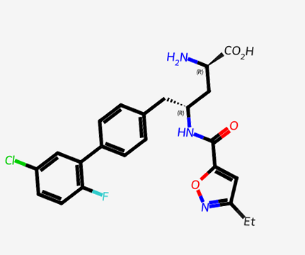 CCc1cc(C(=O)N[C@H](Cc2ccc(-c3cc(Cl)ccc3F)cc2)C[C@@H](N)C(=O)O)on1